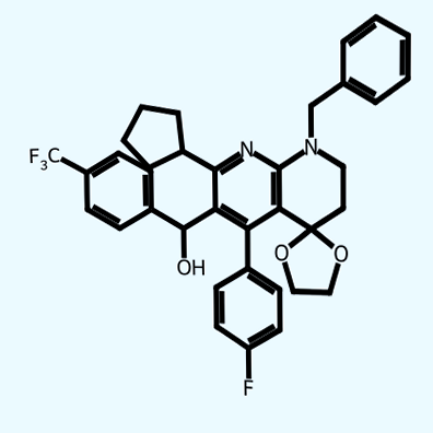 OC(c1ccc(C(F)(F)F)cc1)c1c(C2CCCC2)nc2c(c1-c1ccc(F)cc1)C1(CCN2Cc2ccccc2)OCCO1